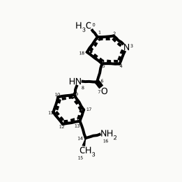 Cc1cncc(C(=O)Nc2cccc([C@H](C)N)c2)c1